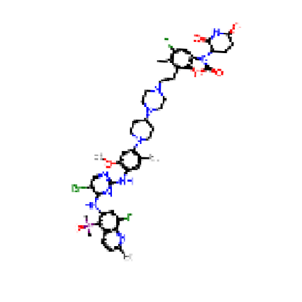 CCOc1cc(N2CCC(N3CCN(CCc4c(C)c(F)cc5c4oc(=O)n5C4CCC(=O)NC4=O)CC3)CC2)c(CC)cc1Nc1ncc(Br)c(Nc2cc(F)c3nc(CC)ccc3c2P(C)(C)=O)n1